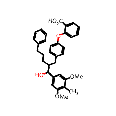 COc1cc(C(O)C(CCCc2ccccc2)Cc2ccc(Oc3ccccc3C(=O)O)cc2)cc(OC)c1C